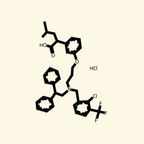 CC(C)CC(C(=O)O)c1cccc(OCCCN(Cc2cccc(C(F)(F)F)c2Cl)CC(c2ccccc2)c2ccccc2)c1.Cl